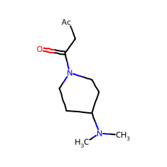 CC(=O)CC(=O)N1CCC(N(C)C)CC1